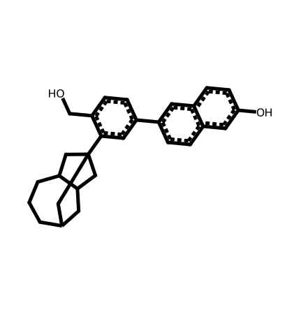 OCc1ccc(-c2ccc3cc(O)ccc3c2)cc1C12CC3CCCC(C1)C(C3)C2